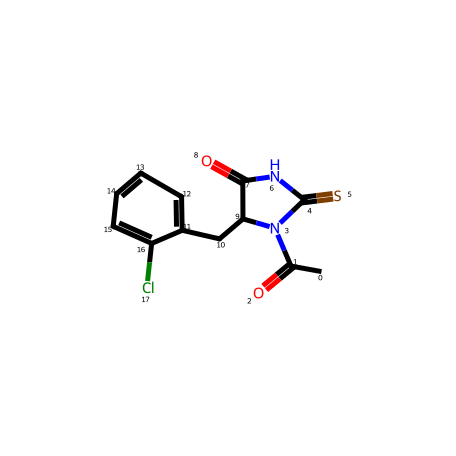 CC(=O)N1C(=S)NC(=O)C1Cc1ccccc1Cl